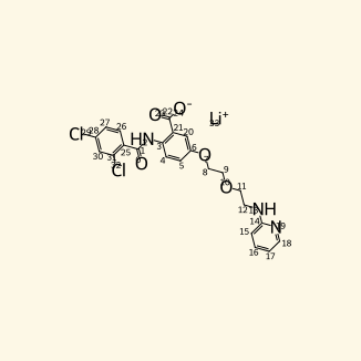 O=C(Nc1ccc(OCCOCCNc2ccccn2)cc1C(=O)[O-])c1ccc(Cl)cc1Cl.[Li+]